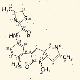 Cc1cc2c(cn1)cc(-c1cc(NC(=O)C3=NC(C)CS3)ccc1C)c(=O)n2C